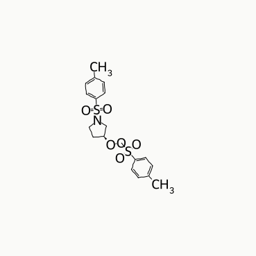 Cc1ccc(S(=O)(=O)OO[C@H]2CCN(S(=O)(=O)c3ccc(C)cc3)C2)cc1